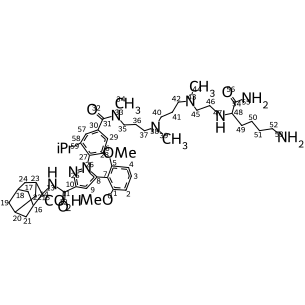 COc1cccc(OC)c1-c1cc(C(=O)NC2(C(=O)O)C3CC4CC(C3)CC2C4)nn1-c1ccc(C(=O)N(C)CCCN(C)CCCN(C)CCNC(CCCCN)C(N)=O)cc1C(C)C